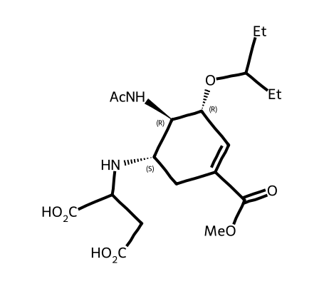 CCC(CC)O[C@@H]1C=C(C(=O)OC)C[C@H](NC(CC(=O)O)C(=O)O)[C@H]1NC(C)=O